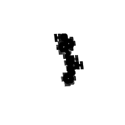 Oc1cccc2c(CCNCC(O)COc3ccccc3)cccc12